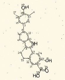 Cc1cc(-c2ccc3c4c([nH]c3c2)-c2cc(O)c(C(=O)O)cc2CC4)cc(C)c1O